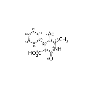 CC(=O)c1c(C)[nH]c(=O)c(C(=O)O)c1-c1ccccc1